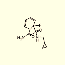 NC(=O)C1C=CC=CC1(F)S(=O)(=O)NCC1CC1